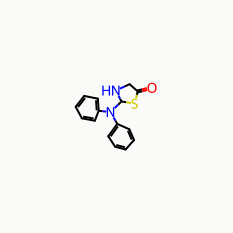 O=C1CNC(N(c2ccccc2)c2ccccc2)S1